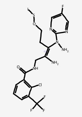 N/C(CNC(=O)c1cccc(C(F)(F)F)c1Cl)=C(/CCOSI)N(N)c1ncc(F)cn1